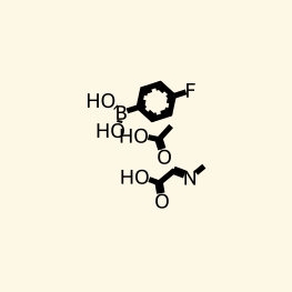 CC(=O)O.CN=CC(=O)O.OB(O)c1ccc(F)cc1